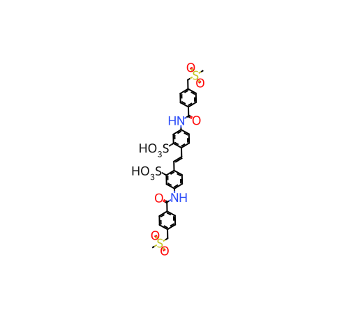 CS(=O)(=O)Cc1ccc(C(=O)Nc2ccc(C=Cc3ccc(NC(=O)c4ccc(CS(C)(=O)=O)cc4)cc3S(=O)(=O)O)c(S(=O)(=O)O)c2)cc1